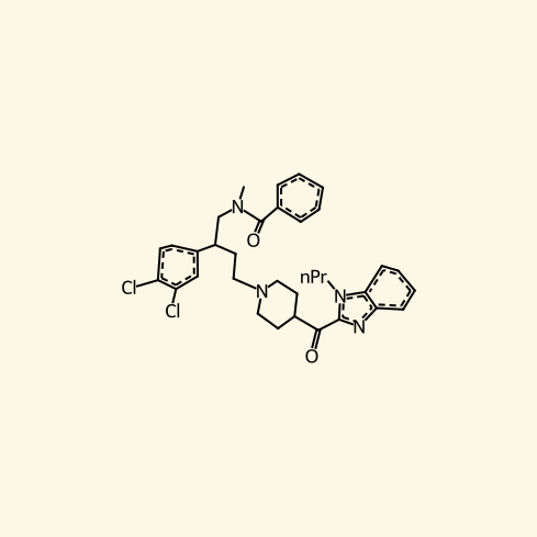 CCCn1c(C(=O)C2CCN(CCC(CN(C)C(=O)c3ccccc3)c3ccc(Cl)c(Cl)c3)CC2)nc2ccccc21